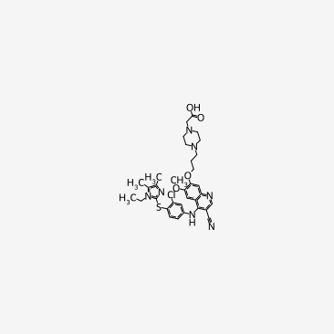 CCn1c(Sc2ccc(Nc3c(C#N)cnc4cc(OCCCN5CCN(CC(=O)O)CC5)c(OC)cc34)cc2Cl)nc(C)c1C